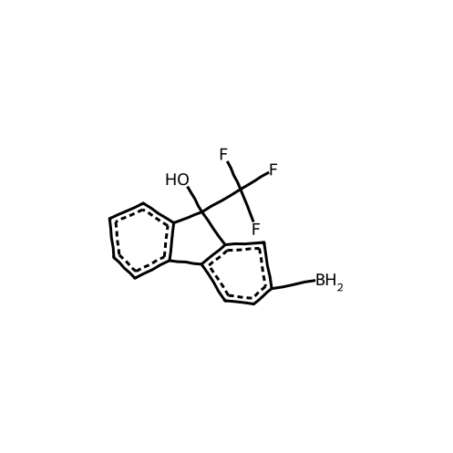 Bc1ccc2c(c1)C(O)(C(F)(F)F)c1ccccc1-2